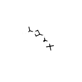 CC(O)N1CC(NC(=O)OC(C)(C)C)C1